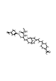 CNC(=O)NC(COc1ccc(C#N)cc1)CN1CC2CC(CN(CCCN3CCN(C(C)=O)CC3)C2)C1